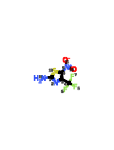 Nc1nc(C(F)(F)F)c([N+](=O)[O-])s1